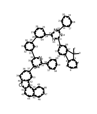 CC1(C)c2ccccc2-c2ccc(-c3nc(-c4ccccc4)nc(-c4cccc(-c5cccc(-c6cc(-c7ccc8oc9ccc%10ccccc%10c9c8c7)nc(-c7ccccc7)n6)c5)c4)n3)cc21